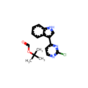 CC(C)(C)OC=O.Clc1nccc(-c2c[nH]c3ccccc23)n1